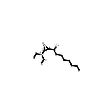 CCCCCCCC(F)C1OC1N(CC)CC